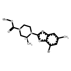 Cc1cc(Br)c2oc(N3CCN(C(=O)OC(C)(C)C)C[C@@H]3C)nc2c1